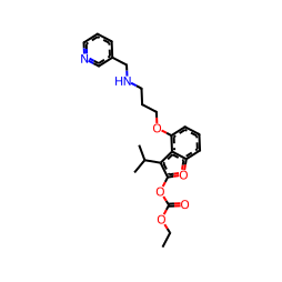 CCOC(=O)Oc1oc2cccc(OCCCNCc3cccnc3)c2c1C(C)C